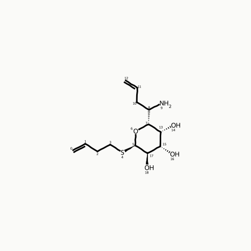 C=CCCS[C@H]1O[C@H](C(N)CC=C)[C@H](O)[C@H](O)[C@H]1O